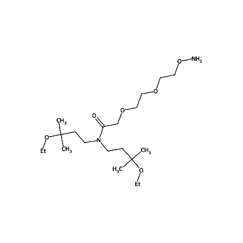 CCOC(C)(C)CCN(CCC(C)(C)OCC)C(=O)COCCOCCON